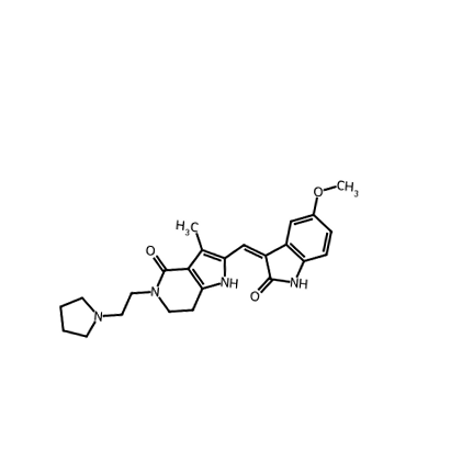 COc1ccc2c(c1)C(=Cc1[nH]c3c(c1C)C(=O)N(CCN1CCCC1)CC3)C(=O)N2